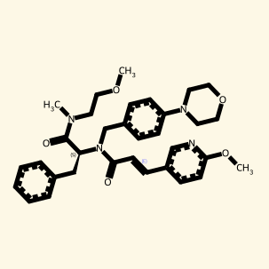 COCCN(C)C(=O)[C@H](Cc1ccccc1)N(Cc1ccc(N2CCOCC2)cc1)C(=O)/C=C/c1ccc(OC)nc1